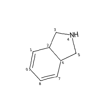 [C]1=CC2CNCC2C=C1